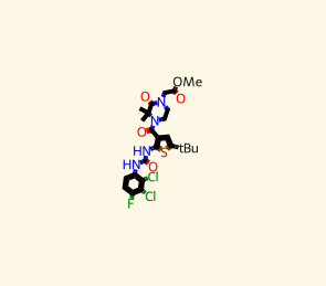 COC(=O)CN1CCN(C(=O)c2cc(C(C)(C)C)sc2NC(=O)Nc2ccc(F)c(Cl)c2Cl)C(C)(C)C1=O